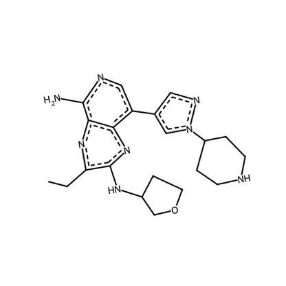 CCc1nc2c(N)ncc(-c3cnn(C4CCNCC4)c3)c2nc1NC1CCOC1